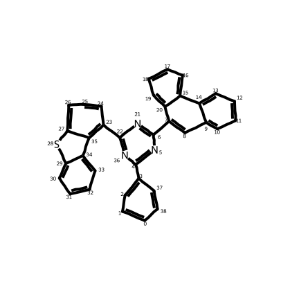 c1ccc(-c2nc(-c3cc4ccccc4c4ccccc34)nc(-c3cccc4sc5ccccc5c34)n2)cc1